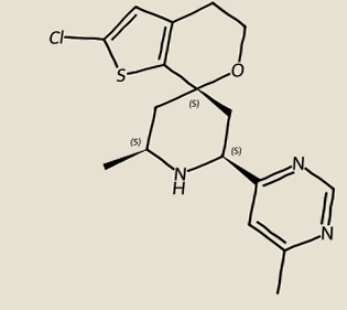 Cc1cc([C@@H]2C[C@]3(C[C@H](C)N2)OCCc2cc(Cl)sc23)ncn1